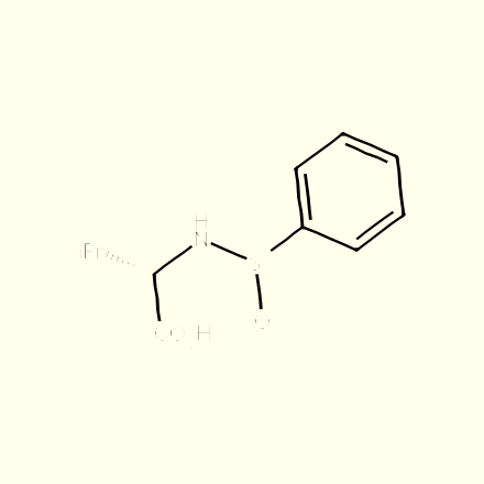 CC(C)[C@H](N[S+]([O-])c1ccccc1)C(=O)O